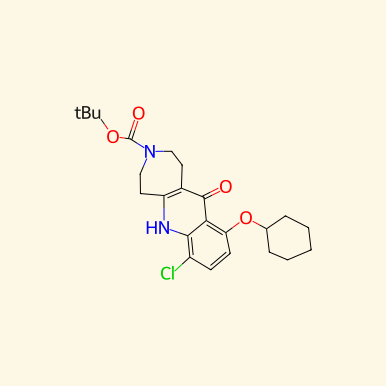 CC(C)(C)OC(=O)N1CCc2[nH]c3c(Cl)ccc(OC4CCCCC4)c3c(=O)c2CC1